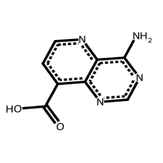 Nc1ncnc2c(C(=O)O)ccnc12